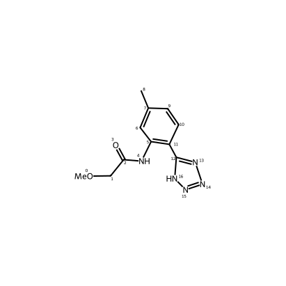 COCC(=O)Nc1cc(C)ccc1-c1nnn[nH]1